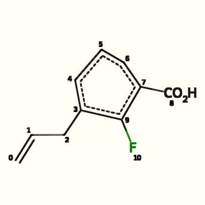 C=CCc1cccc(C(=O)O)c1F